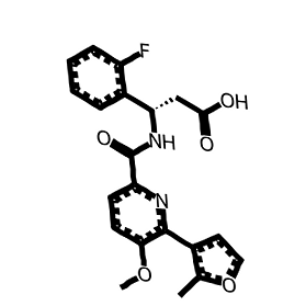 COc1ccc(C(=O)N[C@@H](CC(=O)O)c2ccccc2F)nc1-c1ccoc1C